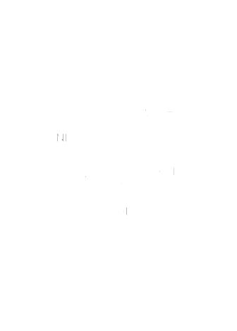 Cc1c(O)cccc1S(=O)(=O)O.N